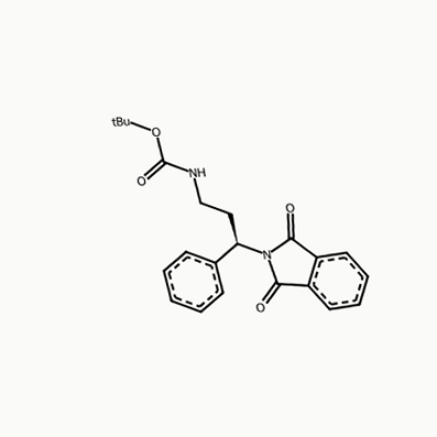 CC(C)(C)OC(=O)NCC[C@H](c1ccccc1)N1C(=O)c2ccccc2C1=O